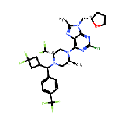 Cc1nc2c(N3C[C@@H](C(F)F)N(C(c4ccc(C(F)(F)F)cc4)C4CC(F)(F)C4)C[C@@H]3C)nc(Cl)nc2n1C[C@@H]1CCCO1